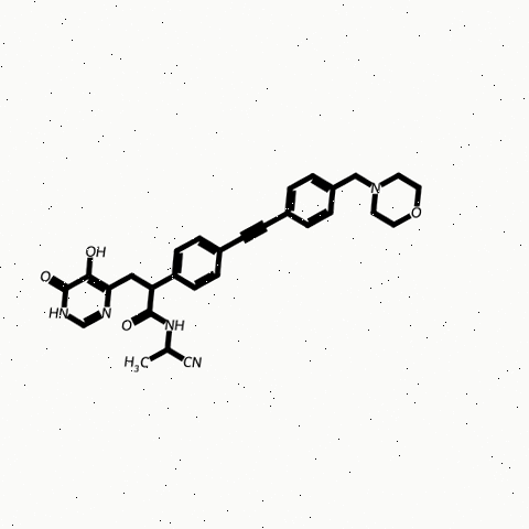 CC(C#N)NC(=O)C(Cc1nc[nH]c(=O)c1O)c1ccc(C#Cc2ccc(CN3CCOCC3)cc2)cc1